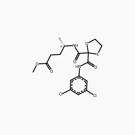 COC(=O)CC[C@H](C)NC(=O)C1(C(=O)Nc2cc(Cl)cc(Cl)c2)OCCS1